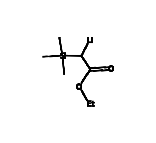 [Li][CH](C(=O)OCC)[Si](C)(C)C